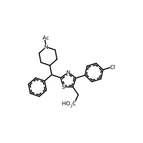 CC(=O)N1CCC(C(c2ccccc2)c2nc(-c3ccc(Cl)cc3)c(CC(=O)O)s2)CC1